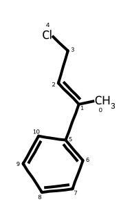 CC(=CCCl)c1ccccc1